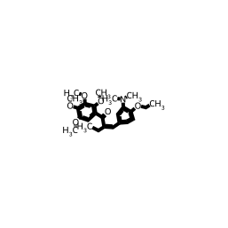 CCOc1ccc(C=C(CC)C(=O)c2cc(OC)c(OC)c(OC)c2OC)cc1N(C)C